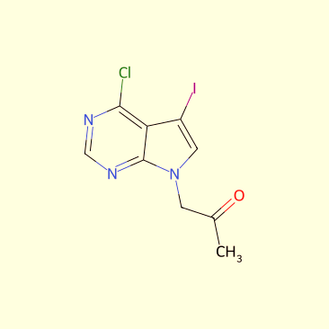 CC(=O)Cn1cc(I)c2c(Cl)ncnc21